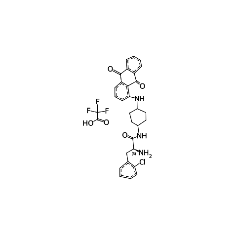 N[C@@H](Cc1ccccc1Cl)C(=O)NC1CCC(Nc2cccc3c2C(=O)c2ccccc2C3=O)CC1.O=C(O)C(F)(F)F